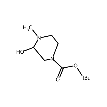 CN1CCN(C(=O)OC(C)(C)C)CC1O